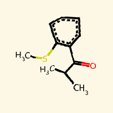 CSc1ccccc1C(=O)C(C)C